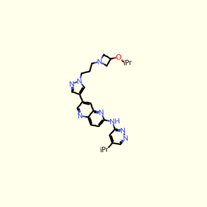 CC(C)OC1CN(CCCn2cc(-c3cnc4ccc(Nc5cc(C(C)C)cnn5)nc4c3)cn2)C1